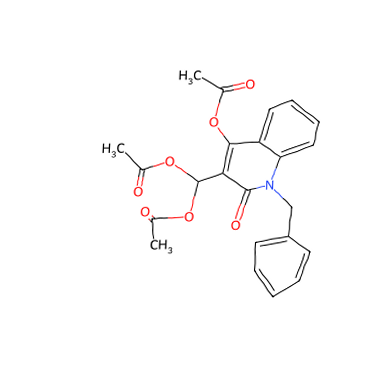 CC(=O)Oc1c(C(OC(C)=O)OC(C)=O)c(=O)n(Cc2ccccc2)c2ccccc12